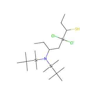 CCC(C[Si](Cl)(Cl)C(S)CC)N([Si](C)(C)C(C)(C)C)[Si](C)(C)C(C)(C)C